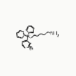 NCCCCCC[P+](c1ccccc1)(c1ccccc1)c1ccccc1.[Br-]